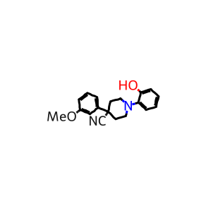 COc1cccc(C2(C#N)CCN(c3ccccc3O)CC2)c1